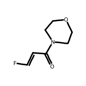 O=C(/C=C/F)N1CCOCC1